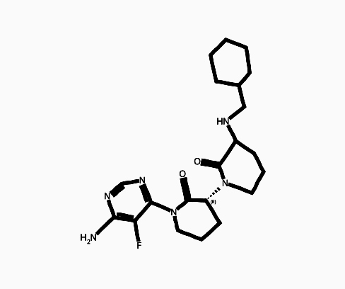 Nc1ncnc(N2CCC[C@@H](N3CCCC(NCC4CCCCC4)C3=O)C2=O)c1F